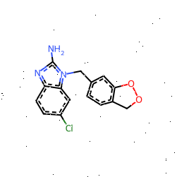 Nc1nc2ccc(Cl)cc2n1Cc1ccc2c(c1)OOC2